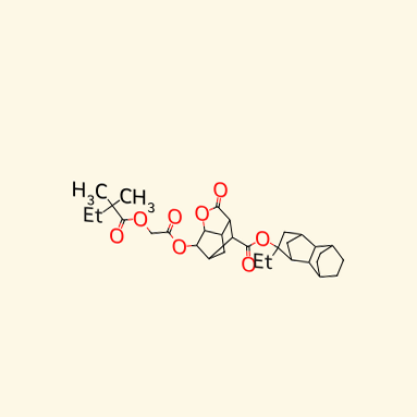 CCC(C)(C)C(=O)OCC(=O)OC1C2CC3C1OC(=O)C3C2C(=O)OC1(CC)CC2CC1C1C3CCC(CC3)C21